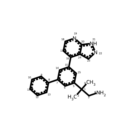 CC(C)(CN)c1cc(-c2ccccc2)cc(-c2ccnc3[nH]ncc23)c1